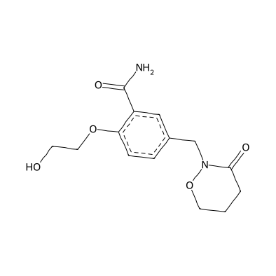 NC(=O)c1cc(CN2OCCCC2=O)ccc1OCCO